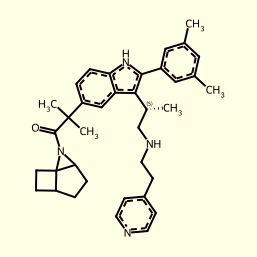 Cc1cc(C)cc(-c2[nH]c3ccc(C(C)(C)C(=O)N4C5CCC6CCC654)cc3c2[C@H](C)CNCCc2ccncc2)c1